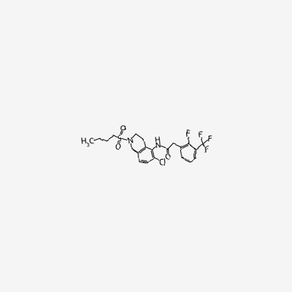 CCCCS(=O)(=O)N1CCc2c(ccc(Cl)c2NC(=O)Cc2cccc(C(F)(F)F)c2F)C1